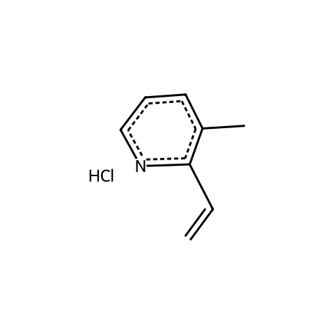 C=Cc1ncccc1C.Cl